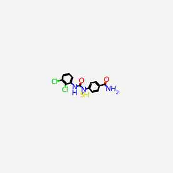 NC(=O)c1ccc(N(S)C(=O)Nc2cccc(Cl)c2Cl)cc1